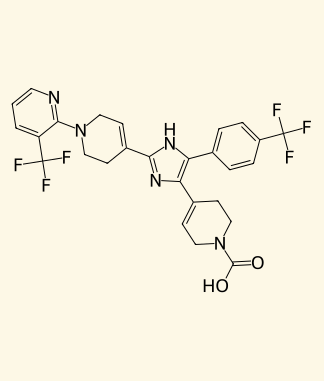 O=C(O)N1CC=C(c2nc(C3=CCN(c4ncccc4C(F)(F)F)CC3)[nH]c2-c2ccc(C(F)(F)F)cc2)CC1